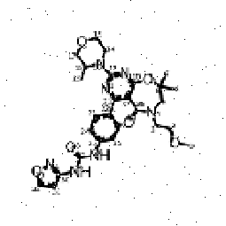 COCCN1CC(C)(C)Oc2nc(N3CCOCC3C)nc(-c3ccc(NC(=O)Nc4ccon4)cc3)c2C1=O